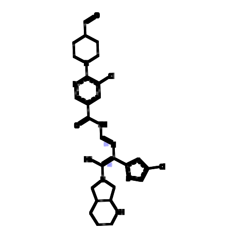 O=CC1CCN(c2ncc(C(=O)N/C=N/C(=C(\S)N3CC4CCCNC4C3)c3cc(Cl)cs3)cc2Cl)CC1